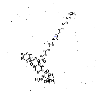 CCCCCCCC/C=C/CCCCCCCC(=O)Oc1cc(C(=O)C(N)C(C)(C)C)ccc1OC(=O)c1cccnc1